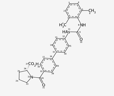 Cc1cccc(C)c1NC(=O)[AsH]c1ccc(-c2ccc(C(=O)N3CCC[C@@H]3C(=O)O)cc2)cc1